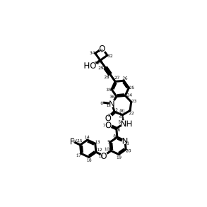 CN1C(=O)[C@H](NC(=O)c2cc(Oc3ccc(F)cc3)ccn2)CCc2ccc(C#CC3(O)COC3)cc21